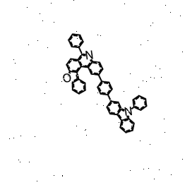 c1ccc(-c2nc3ccc(-c4ccc(-c5ccc6c7ccccc7n(-c7ccccc7)c6c5)cc4)cc3c3c2ccc2oc4ccccc4c23)cc1